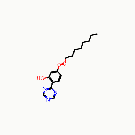 CCCCCCCCOOc1ccc(-c2ncncn2)c(O)c1